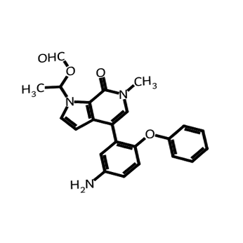 CC(OC=O)n1ccc2c(-c3cc(N)ccc3Oc3ccccc3)cn(C)c(=O)c21